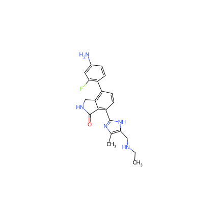 CCNCc1[nH]c(-c2ccc(-c3ccc(N)cc3F)c3c2C(=O)NC3)nc1C